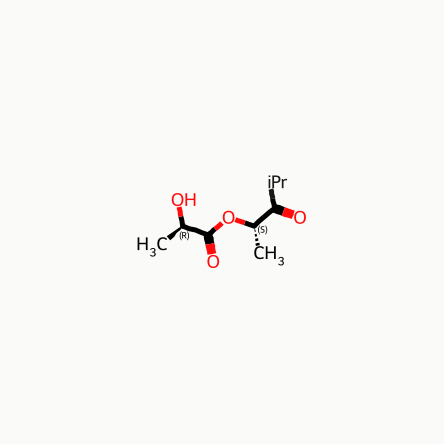 CC(C)C(=O)[C@H](C)OC(=O)[C@@H](C)O